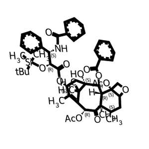 CC(=O)O[C@H]1C(=O)[C@]2(C)[C@@H](C)CC3OC[C@@]3(OC(C)=O)[C@H]2[C@H](OC(=O)c2ccccc2)[C@]2(O)C[C@H](OC(=O)[C@H](O[Si](C)(C)C(C)(C)C)[C@@H](NC(=O)c3ccccc3)c3ccccc3)C(C)=C1C2(C)C